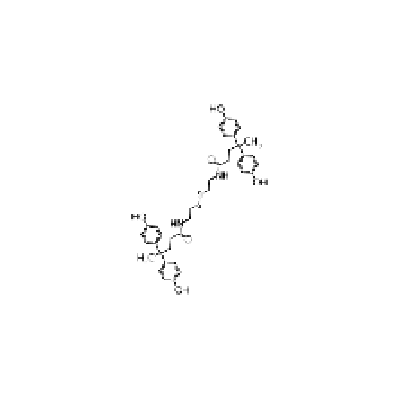 CC(CCC(=O)NCCSSCCNC(=O)CCC(C)(c1ccc(O)cc1)c1ccc(O)cc1)(c1ccc(O)cc1)c1ccc(O)cc1